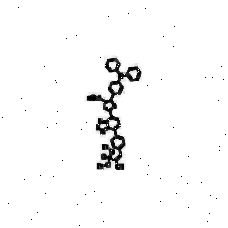 CCCCCCCCc1cc(-c2ccc(-c3ccc(C=C(C#N)P(=O)(OCC)OCC)cc3)c3nsnc23)sc1-c1ccc(N(c2ccccc2)c2ccccc2)cc1